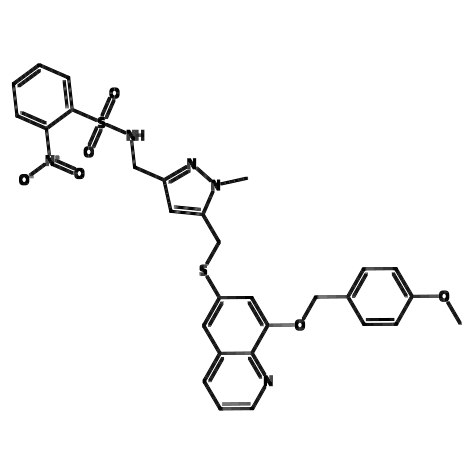 COc1ccc(COc2cc(SCc3cc(CNS(=O)(=O)c4ccccc4[N+](=O)[O-])nn3C)cc3cccnc23)cc1